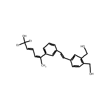 CCC(O)(/C=C/C=C(/C)c1cccc(/C=C/c2ccc(CO)c(CO)c2)c1)CC